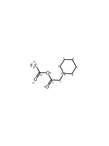 O=C(CN1CCCCC1)OC(=O)C(F)(F)F